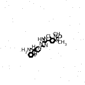 Cn1c(=O)n(C)c2c(Cl)c(-c3n[nH]c4nc(N5CC[C@@H]6[C@H](C5)[C@@]6(CN)c5ccccc5F)cnc34)ccc21